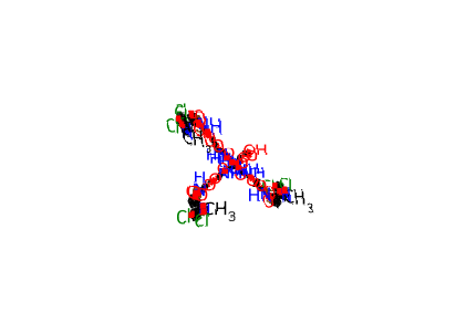 CN1Cc2c(Cl)cc(Cl)cc2C(c2cccc(S(=O)(=O)NCCOCCOCCNC(=O)NCCC(CCNC(=O)NCCOCCOCCNS(=O)(=O)c3cccc([C@@H]4CN(C)Cc5c(Cl)cc(Cl)cc54)c3)(CCNC(=O)NCCOCCOCCNS(=O)(=O)c3cccc([C@@H]4CN(C)Cc5c(Cl)cc(Cl)cc54)c3)NC(=O)COCC(=O)O)c2)C1